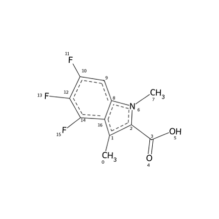 Cc1c(C(=O)O)n(C)c2cc(F)c(F)c(F)c12